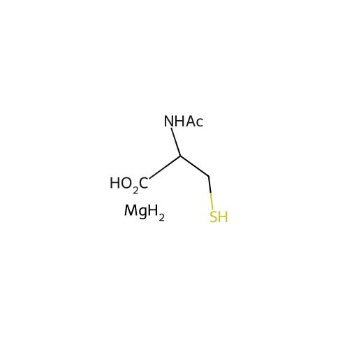 CC(=O)NC(CS)C(=O)O.[MgH2]